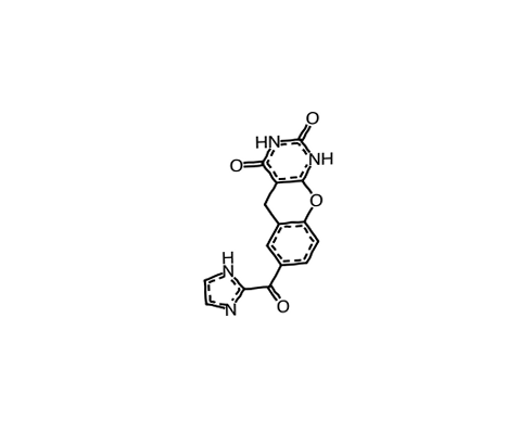 O=C(c1ccc2c(c1)Cc1c([nH]c(=O)[nH]c1=O)O2)c1ncc[nH]1